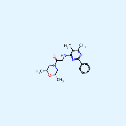 Cc1nc(-c2ccccc2)nc(NCC(=O)N2C[C@H](C)O[C@@H](C)C2)c1C